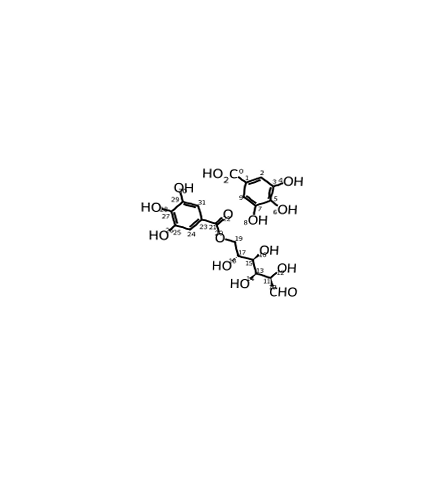 O=C(O)c1cc(O)c(O)c(O)c1.O=C[C@H](O)[C@@H](O)[C@H](O)[C@H](O)COC(=O)c1cc(O)c(O)c(O)c1